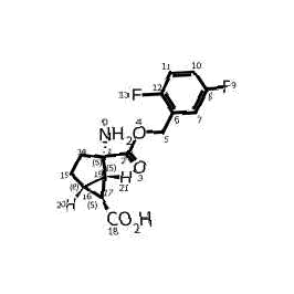 N[C@@]1(C(=O)OCc2cc(F)ccc2F)CC[C@H]2[C@H](C(=O)O)[C@H]21